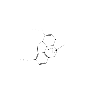 COC1=CCC2C3Cc4ccc(OC)c5c4[C@]2(CCN3C)C1O5